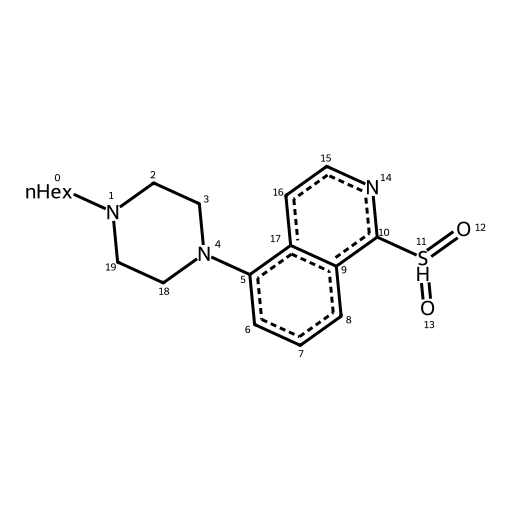 CCCCCCN1CCN(c2cccc3c([SH](=O)=O)nccc23)CC1